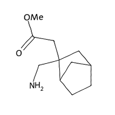 COC(=O)CC1(CN)CC2CCC1C2